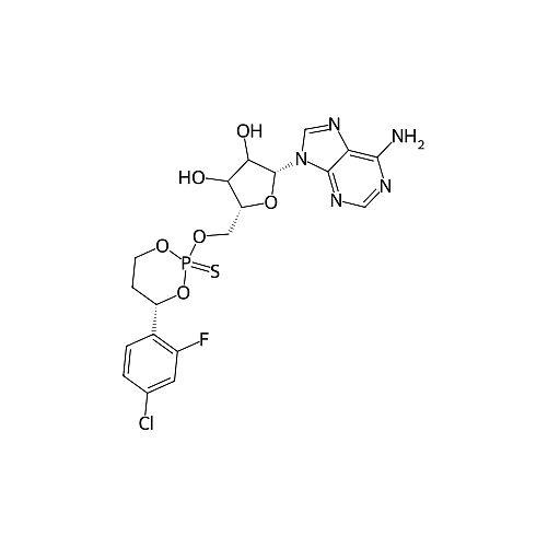 Nc1ncnc2c1ncn2[C@@H]1O[C@H](COP2(=S)OCC[C@@H](c3ccc(Cl)cc3F)O2)C(O)C1O